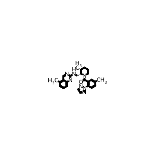 Cc1ccc(-n2nccn2)c(C(=O)N2CCC[C@@H](C)[C@H]2CNc2ncc3c(C)cccc3n2)c1